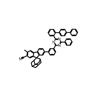 Cc1cc2c(cc1C#N)C1(c3cc(-c4cccc(-c5nc(-c6ccccc6)nc(-c6ccccc6-c6ccc(-c7ccccc7)cc6)n5)c4)ccc3-2)C2CC3CC(C2)CC1C3